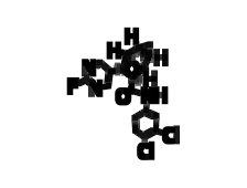 O=C(Nc1ccc(Cl)c(Cl)c1)[C@@H]1[C@@H]2O[C@@H]([C@H]3C[C@H]32)[C@@H]1c1cnc(F)nc1